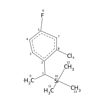 [CH2]C(c1ccc(F)cc1Cl)[Si](C)(C)C